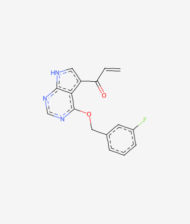 C=CC(=O)c1c[nH]c2ncnc(OCc3cccc(F)c3)c12